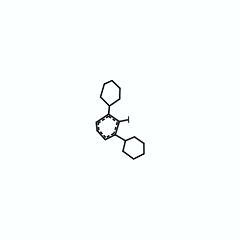 Ic1c(C2CCCCC2)cccc1C1CCCCC1